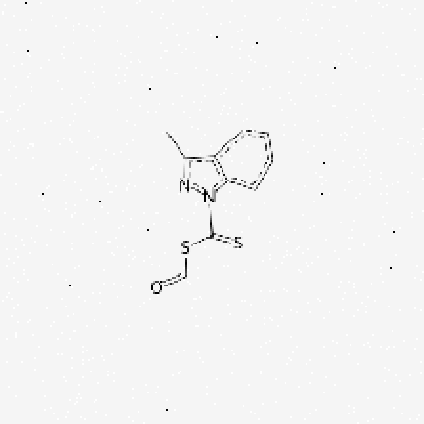 Cc1nn(C(=S)SC=O)c2ccccc12